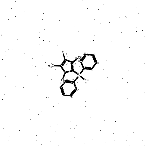 CC1=C(C)C(C)C([Si](c2ccccc2)(c2ccccc2)C(C)(C)C)=C1C